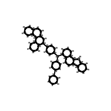 c1ccc(-c2ccc(N(c3ccc(-c4cc5ccc6ccccc6c5c5ccccc45)cc3)c3cccc4c3ccc3c5ccccc5oc43)cc2)cc1